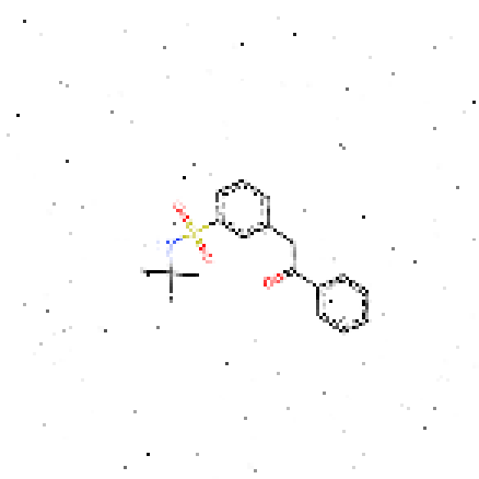 CC(C)(C)NS(=O)(=O)c1cccc(CC(=O)c2ccccc2)c1